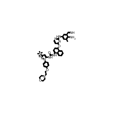 Cc1cc(Nc2nccc(Oc3ccc(NC(=O)Nc4cc([SH](C)(C)(C)C)nn4-c4ccc(OCCN5CCOCC5)cc4)c4ccccc34)n2)cc(C=N)c1N